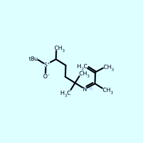 C=C(C)/C(C)=N\C(C)(C)CCC(C)[S+]([O-])C(C)(C)C